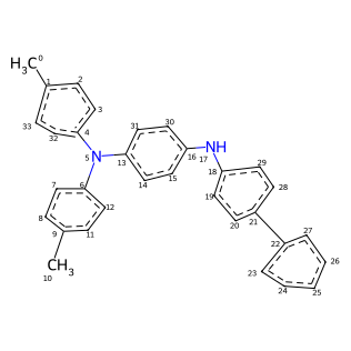 Cc1ccc(N(c2ccc(C)cc2)c2ccc(Nc3ccc(-c4ccccc4)cc3)cc2)cc1